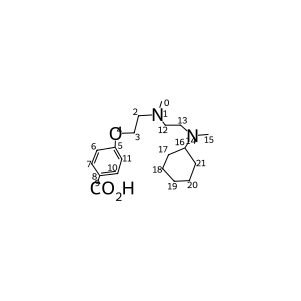 CN(CCOc1ccc(C(=O)O)cc1)CCN(C)C1CCCCC1